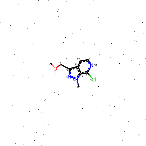 COCc1nn(C)c2c(Cl)nccc12